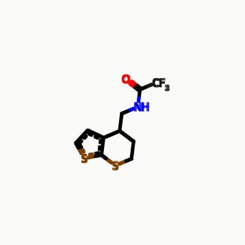 O=C(NCC1CCSc2sccc21)C(F)(F)F